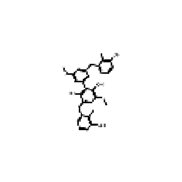 COc1cc([CH]c2cccc(O)c2C)cc(-c2c(O)c([CH]c3cccc(O)c3C)cc(OC)c2O)c1